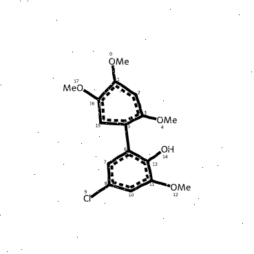 COc1cc(OC)c(-c2cc(Cl)cc(OC)c2O)cc1OC